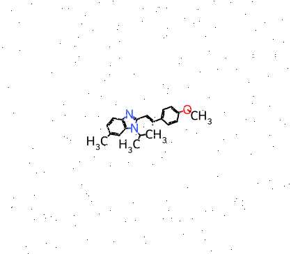 COc1ccc([C]=Cc2nc3ccc(C)cc3n2C(C)C)cc1